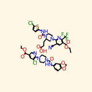 CCOC(=O)c1cc(C#N)c(N2CCN(C(=O)Nc3ccc(Cl)s3)C(CCC(=O)O)C2)nc1C(F)(F)F.CCOC(=O)c1cnc(N2CCN(C(=O)Nc3ccc4c(c3)OCO4)CC2)c(Cl)c1